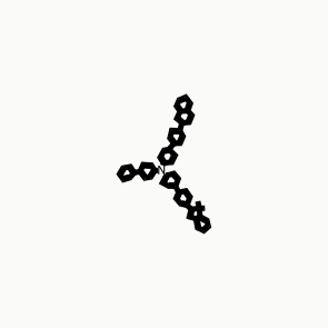 CC1(C)C(c2ccc(-c3ccc(N(c4ccc(-c5ccccc5)cc4)c4ccc(-c5ccc(-c6ccc7ccccc7c6)cc5)cc4)cc3)cc2)=Cc2ccccc21